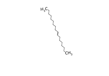 CCCCCCCC=CCCCCCCCCC